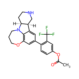 CC(=O)Oc1ccc(-c2cc3c4c(c2)[C@@H]2CNCC[C@@H]2N4CCCO3)c(C(F)(F)F)c1